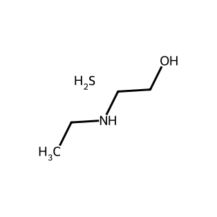 CCNCCO.S